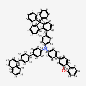 c1ccc(C2(c3ccccc3)c3ccccc3-c3c(-c4ccc(N(c5ccc(-c6ccc(-c7cccc8ccccc78)cc6)cc5)c5ccc(-c6ccc7c(c6)oc6ccccc67)cc5)cc4)cccc32)cc1